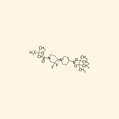 CC(C)(C)OC(=O)N1CC/C(=[N+]2\CC=C(B3OC(C)(C)C(C)(C)O3)CC2)C(F)(F)C1